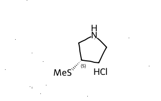 CS[C@H]1CCNC1.Cl